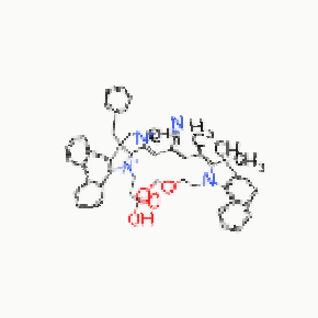 [C-]#[N+]CC1(Cc2ccccc2)C(/C(C)=C/C(C#N)=C/C(C)=C2\N(CCOC=O)c3c(ccc4ccccc34)C2(C)C)=[N+](CCC(=O)O)c2c1c1ccccc1c1ccccc21